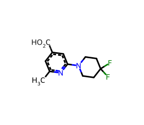 Cc1cc(C(=O)O)cc(N2CCC(F)(F)CC2)n1